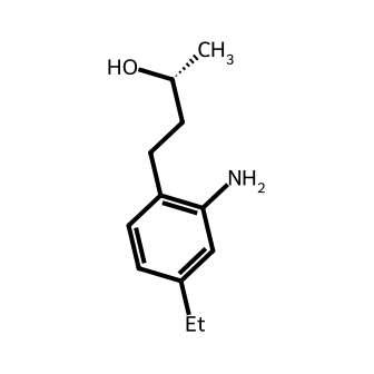 CCc1ccc(CC[C@@H](C)O)c(N)c1